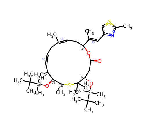 C/C1=C/C[C@@H](/C(C)=C/c2csc(C)n2)OC(=O)C[C@H](O[Si](C)(C)C(C)(C)C)C(C)(C)S[C@H](C)[C@@H](O[Si](C)(C)C(C)(C)C)[C@@H](C)/C=C\C1